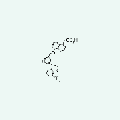 O=C(O)Cc1cccc2c(OCc3cncc(-c4ccnc5c(C(F)(F)F)cccc45)c3)cccc12